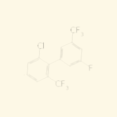 Fc1cc(-c2c(Cl)c[c]cc2C(F)(F)F)cc(C(F)(F)F)c1